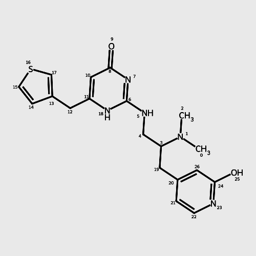 CN(C)C(CNc1nc(=O)cc(Cc2ccsc2)[nH]1)Cc1ccnc(O)c1